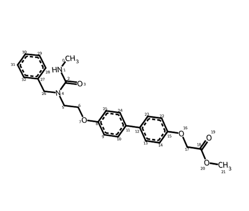 CNC(=O)N(CCOc1ccc(-c2ccc(OCC(=O)OC)cc2)cc1)Cc1ccccc1